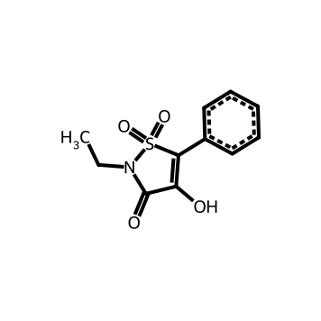 CCN1C(=O)C(O)=C(c2ccccc2)S1(=O)=O